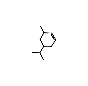 CC1C=CCC(C(C)C)C1